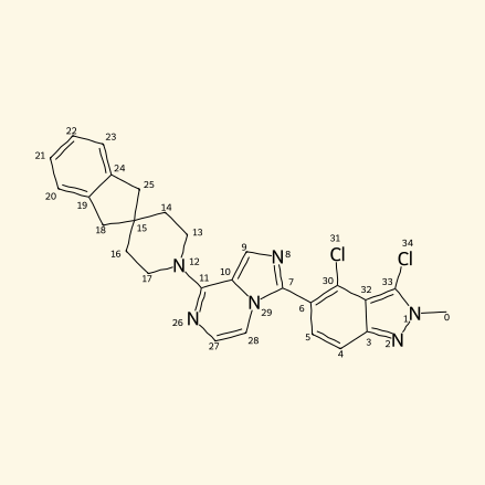 Cn1nc2ccc(-c3ncc4c(N5CCC6(CC5)Cc5ccccc5C6)nccn34)c(Cl)c2c1Cl